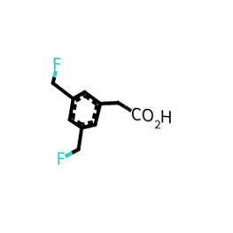 O=C(O)Cc1cc(CF)cc(CF)c1